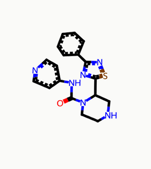 O=C(Nc1ccncc1)N1CCNCC1c1nc(-c2ccccc2)ns1